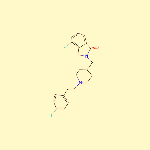 O=C1c2cccc(F)c2CN1CC1CCN(CCc2ccc(F)cc2)CC1